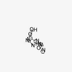 CC(C)(O)COc1cc(-c2ccc(N3CC4CC(C(=O)c5ccccn5)(C3)N4)nc2)c2c(C#N)cnn2c1